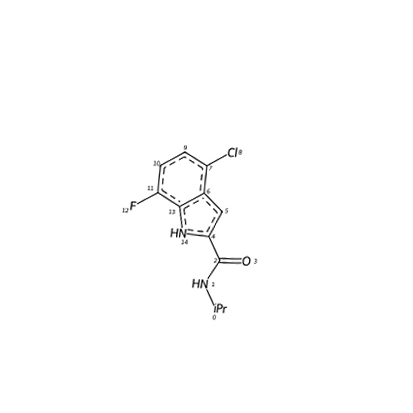 CC(C)NC(=O)c1cc2c(Cl)ccc(F)c2[nH]1